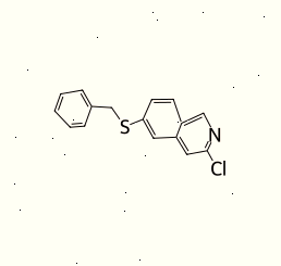 Clc1cc2cc(SCc3ccccc3)ccc2cn1